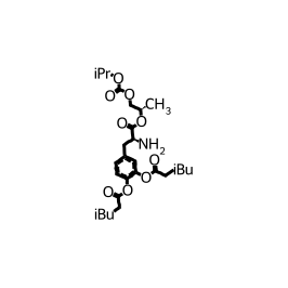 CCC(C)CC(=O)Oc1ccc(C[C@H](N)C(=O)O[C@@H](C)COC(=O)OC(C)C)cc1OC(=O)CC(C)CC